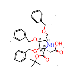 CC(C)(C)OC(=O)[C@]1(CC(=O)O)N[C@H](COCc2ccccc2)[C@@H](OCc2ccccc2)[C@@H]1OCc1ccccc1